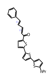 CCCc1ccc(-c2ccc(-c3ccc(C(=O)/C=C/C=C/c4ccccc4)s3)s2)s1